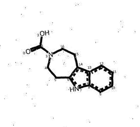 O=C(O)N1CCc2[nH]c3ccccc3c2CC1